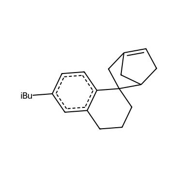 CCC(C)c1ccc2c(c1)CCCC21CC2=CCC1C2